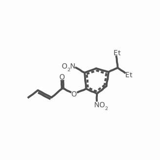 C/C=C/C(=O)Oc1c([N+](=O)[O-])cc(C(CC)CC)cc1[N+](=O)[O-]